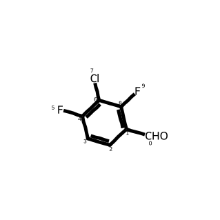 O=Cc1ccc(F)c(Cl)c1F